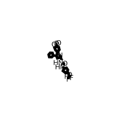 CS(=O)(=O)c1ccc(-n2nc(CNC(=O)Nc3ccc(OC(F)(F)F)cc3)cc2-c2ccccc2)cc1